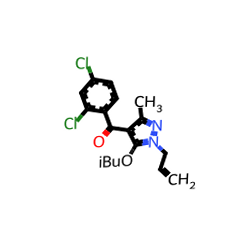 C=CCn1nc(C)c(C(=O)c2ccc(Cl)cc2Cl)c1OCC(C)C